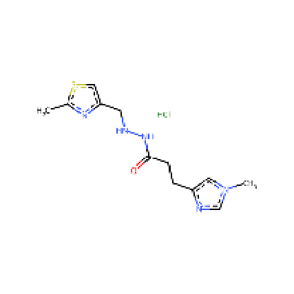 Cc1nc(CNNC(=O)CCc2cn(C)cn2)cs1.Cl